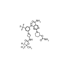 CC(C)(C)OC(=O)NC1CN(c2cc(Nc3nc(N4CCC[C@H](OC(N)=O)C4)ncc3C(N)=O)cc(C(F)(F)F)c2)C1